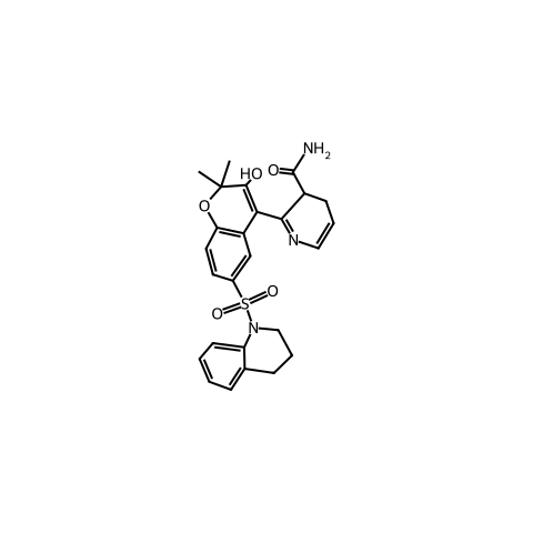 CC1(C)Oc2ccc(S(=O)(=O)N3CCCc4ccccc43)cc2C(C2=NC=CCC2C(N)=O)=C1O